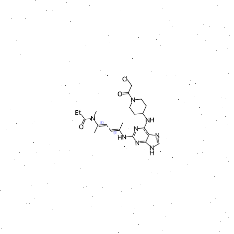 CCC(=O)N(C)/C(C)=C/C=C(\C)Nc1nc(NC2CCN(C(=O)CCl)CC2)c2nc[nH]c2n1